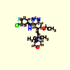 CCOc1cc2ncnc(Nc3ccc(F)c(Cl)c3)c2cc1C#CC(C)(C)N1CCOCC1